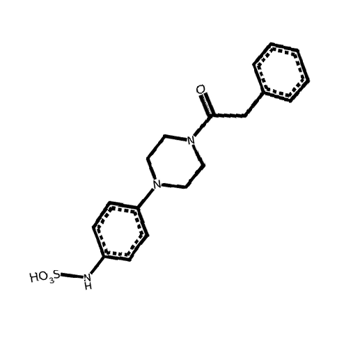 O=C(Cc1ccccc1)N1CCN(c2ccc(NS(=O)(=O)O)cc2)CC1